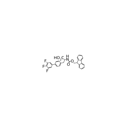 O=C(NC(Cc1ccc(-c2cc(F)c(F)c(F)c2)cc1)C(=O)O)OCC1c2ccccc2-c2ccccc21